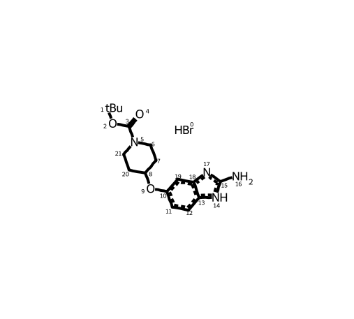 Br.CC(C)(C)OC(=O)N1CCC(Oc2ccc3[nH]c(N)nc3c2)CC1